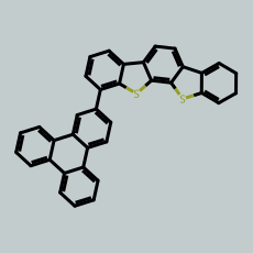 C1=c2sc3c(ccc4c5cccc(-c6ccc7c8ccccc8c8ccccc8c7c6)c5sc43)c2=CCC1